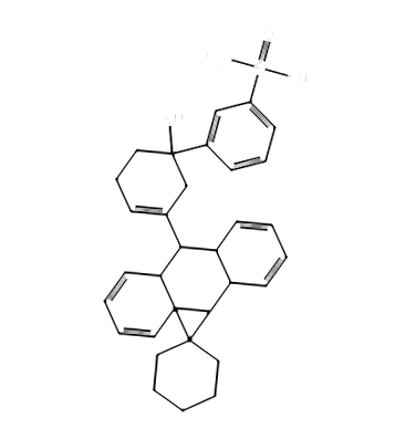 CC1(c2cccc(P(C)(C)=O)c2)CCC=C(C2C3C=CC=CC3C3C4(CCCCC4)C34C=CC=CC24)C1